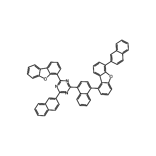 c1ccc2cc(-c3nc(-c4ccc(-c5cccc6oc7c(-c8ccc9ccccc9c8)cccc7c56)c5ccccc45)nc(-c4cccc5c4oc4ccccc45)n3)ccc2c1